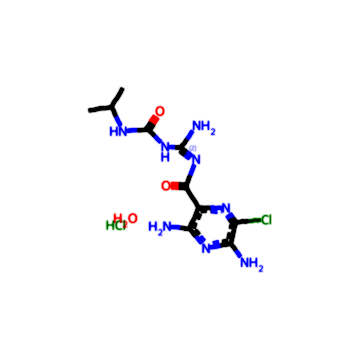 CC(C)NC(=O)N/C(N)=N\C(=O)c1nc(Cl)c(N)nc1N.Cl.O